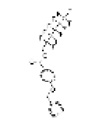 O=C(OCC(F)(F)C(F)(F)C(F)(F)C(F)(F)C(F)(F)F)c1ccc(OCc2ccccc2)cc1